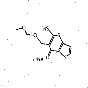 COCOCc1c(S)sc2ccsc2c1=O.[NaH]